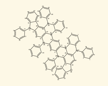 c1ccc(N2c3ccccc3B3c4cc5c(cc4N(c4ccccc4)c4c3c2cc2oc3ccccc3c42)N(c2ccccc2)c2cc3c(c4c2B5c2ccccc2N4c2ccccc2)c2ccccc2n3-c2ccccc2)cc1